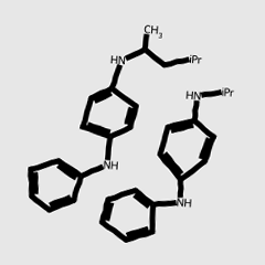 CC(C)CC(C)Nc1ccc(Nc2ccccc2)cc1.CC(C)Nc1ccc(Nc2ccccc2)cc1